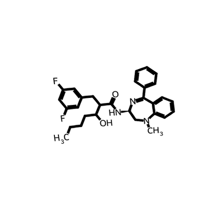 CCCCC(O)C(Cc1cc(F)cc(F)c1)C(=O)N[C@@H]1CN(C)c2ccccc2C(c2ccccc2)=N1